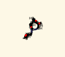 CC[C@H]1C[C@H](C)[C@@]2(NC1=O)O[C@@H](C[C@H](O)[C@@H](C)CC/C=C/C=C(\C)[C@@H]1C/C=C\C=C/[C@H](O)[C@H](C)[C@@H](O)[C@@H](CCC(C)=O)C(=O)N[C@@H](C(C)C)C(=O)N[C@@H](Cc3cccc(O)c3)C(=O)N3CCC[C@H](N3)C(=O)O1)[C@H](C)C=C2C